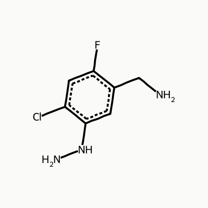 NCc1cc(NN)c(Cl)cc1F